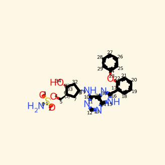 NS(=O)(=O)OC[C@@H]1C[C@@H](Nc2ncnc3[nH]c(-c4ccccc4Oc4ccccc4)nc23)C[C@@H]1O